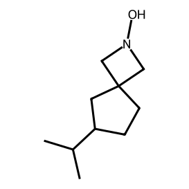 CC(C)C1CCC2(C1)CN(O)C2